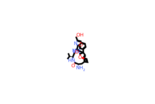 CC(C)[C@@H]1NC(=O)[C@@H](N)Cc2ccc3c(c2)C2(c4ccccc4NC2O3)c2oc1nc2-c1nc(CO)co1